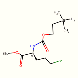 CC(C)(C)OC(=O)[C@H](CCCBr)NC(=O)OCC[Si](C)(C)C